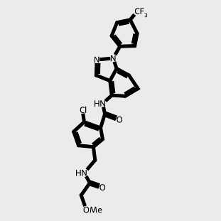 COCC(=O)NCc1ccc(Cl)c(C(=O)Nc2cccc3c2cnn3-c2ccc(C(F)(F)F)cc2)c1